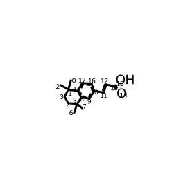 CC1(C)CCC(C)(C)c2cc(/C=C/C(=O)O)ccc21